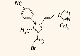 Cc1nccn1C/C=C/c1cc(C(=O)CBr)c(C)n1-c1ccc(C#N)cc1